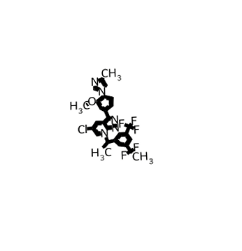 CCC(c1cc(C(C)(F)F)cc(C(F)(F)F)c1)n1cc(Cl)cc2c(-c3ccc(-n4cnc(C)c4)c(OC)c3)nnc1-2